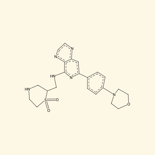 O=S1(=O)CCNCC1CNc1nc(-c2ccc(N3CCOCC3)cc2)cc2nccnc12